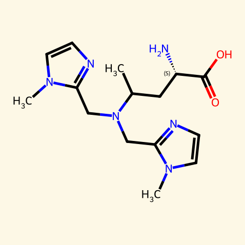 CC(C[C@H](N)C(=O)O)N(Cc1nccn1C)Cc1nccn1C